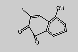 O=C1C(=O)c2cccc(O)c2C=C1I